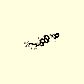 CC(C)CCC[C@@H](C)[C@H]1CCC2C3CC=C4CC(Oc5nc6ccccc6c(=O)o5)CC[C@]4(C)C3CC[C@@]21C